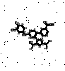 O=C(O)c1cncc(-c2cnc(Nc3ccc(F)c(Cl)c3)nc2-n2nc(C(F)F)cc2C(F)F)c1